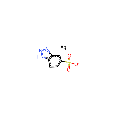 O=S(=O)([O-])c1ccc2[nH]nnc2c1.[Ag+]